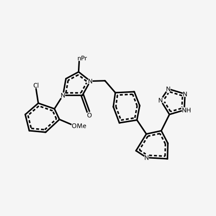 CCCc1cn(-c2c(Cl)cccc2OC)c(=O)n1Cc1ccc(-c2cnccc2-c2nnn[nH]2)cc1